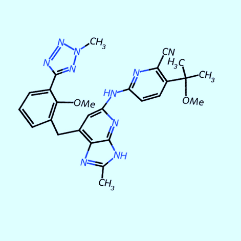 COc1c(Cc2cc(Nc3ccc(C(C)(C)OC)c(C#N)n3)nc3[nH]c(C)nc23)cccc1-c1nnn(C)n1